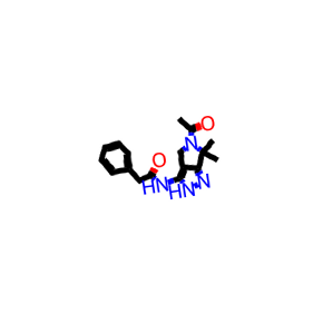 CC(=O)N1Cc2c(n[nH]c2NC(=O)Cc2ccccc2)C1(C)C